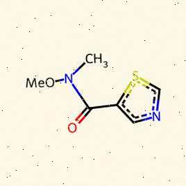 CON(C)C(=O)c1cncs1